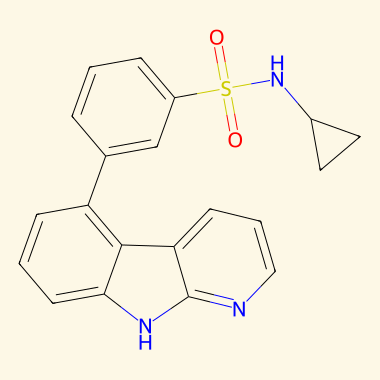 O=S(=O)(NC1CC1)c1cccc(-c2cccc3[nH]c4ncccc4c23)c1